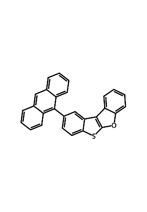 c1ccc2c(-c3ccc4sc5oc6ccccc6c5c4c3)c3ccccc3cc2c1